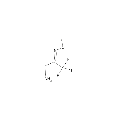 CON=C(CN)C(F)(F)F